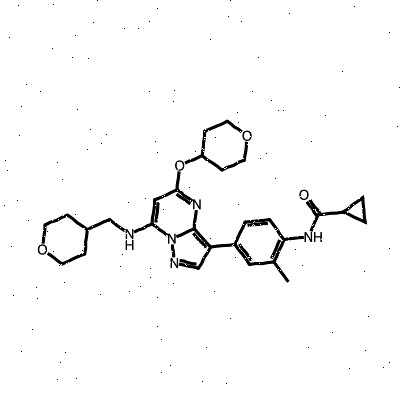 Cc1cc(-c2cnn3c(NCC4CCOCC4)cc(OC4CCOCC4)nc23)ccc1NC(=O)C1CC1